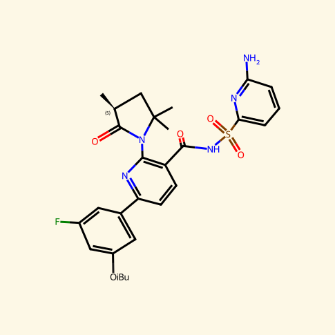 CC(C)COc1cc(F)cc(-c2ccc(C(=O)NS(=O)(=O)c3cccc(N)n3)c(N3C(=O)[C@@H](C)CC3(C)C)n2)c1